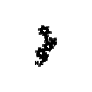 Cn1ccc2c(N3CC=C(C(F)(F)F)C(C#Cc4ccccc4)C3)ccnc21